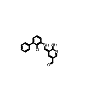 N=C1N=CC(C=O)=C/C1=C/Nc1cccc(-c2ccccc2)c1Cl